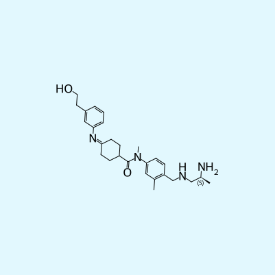 Cc1cc(N(C)C(=O)C2CCC(=Nc3cccc(CCO)c3)CC2)ccc1CNC[C@H](C)N